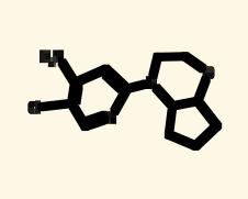 Nc1cc(N2CCOC3CCCC32)ncc1Cl